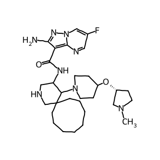 CN1CC[C@@H](OC2CCN(C3C(NC(=O)c4c(N)nn5cc(F)cnc45)CNCC34CCCCCCCC4)CC2)C1